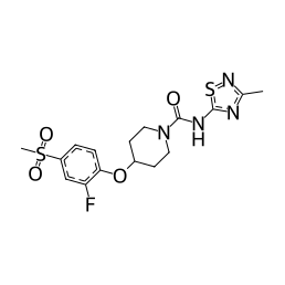 Cc1nsc(NC(=O)N2CCC(Oc3ccc(S(C)(=O)=O)cc3F)CC2)n1